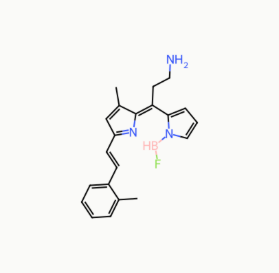 CC1=CC(/C=C/c2ccccc2C)=NC/1=C(/CCN)c1cccn1BF